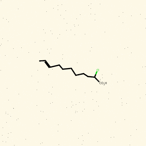 C/C=C/CCCCCCC(Cl)C(=O)O